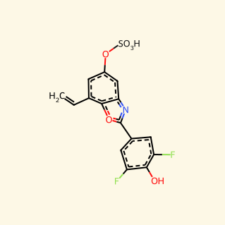 C=Cc1cc(OS(=O)(=O)O)cc2nc(-c3cc(F)c(O)c(F)c3)oc12